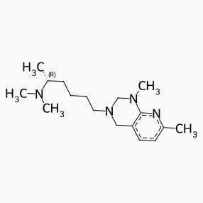 Cc1ccc2c(n1)N(C)CN(CCCC[C@@H](C)N(C)C)C2